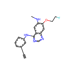 C#Cc1cccc(Nc2ncnc3cc(OCCF)c(NC)cc23)c1